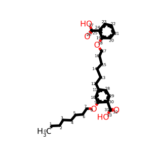 CCCCCCCCOc1cc(CCCCCCOc2ccccc2C(=O)O)ccc1C(=O)O